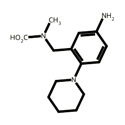 CN(Cc1cc(N)ccc1N1CCCCC1)C(=O)O